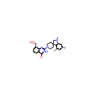 CN1CC2(CCN(c3nc4c(CO)cccc4c(=O)[nH]3)CC2)c2c(F)cc(F)cc21